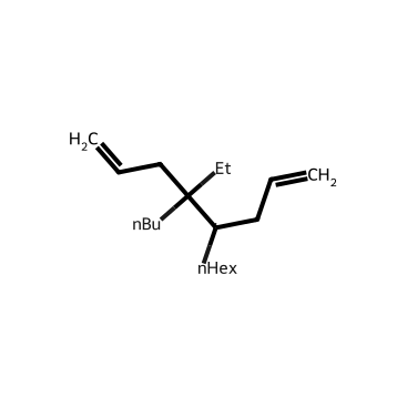 C=CC[C](CCCCCC)C(CC)(CC=C)CCCC